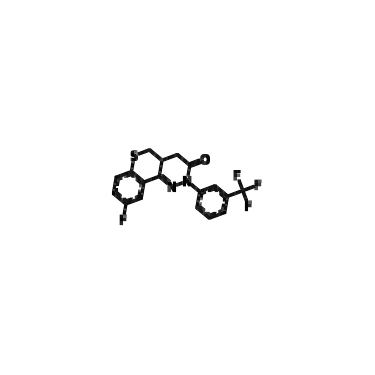 O=C1CC2CSc3ccc(F)cc3C2=NN1c1cccc(C(F)(F)F)c1